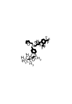 CC(C)(C)OC(=O)C(C)(C)Sc1ccc(CN(Cc2ccco2)Cc2cc(-c3ccc(C(F)(F)F)cc3C(F)(F)F)no2)cc1